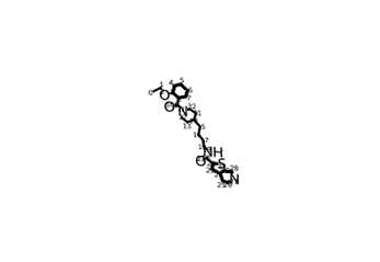 CCOc1ccccc1C(=O)N1CCC(CCCCNC(=O)c2cc3ccncc3s2)CC1